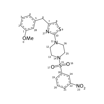 COc1cccc(Cc2csc(N3CCN(S(=O)(=O)c4cccc([N+](=O)[O-])c4)CC3)n2)c1